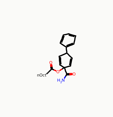 CCCCCCCCC(=O)OC1(C(N)=O)C=CC(c2ccccc2)C=C1